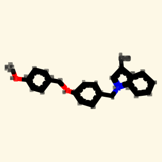 O=Cc1cn(Cc2ccc(OCc3ccc(OC(F)(F)F)cc3)cc2)c2ccccc12